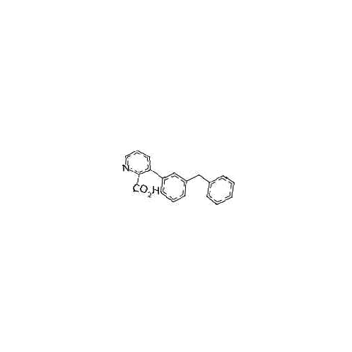 O=C(O)c1ncccc1-c1cccc(Cc2ccccc2)c1